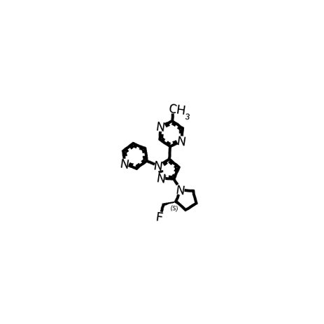 Cc1cnc(-c2cc(N3CCC[C@H]3CF)nn2-c2cccnc2)cn1